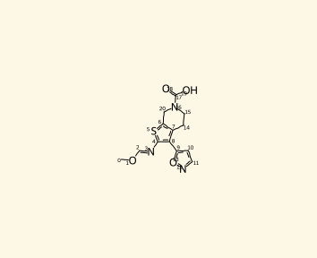 COC=Nc1sc2c(c1-c1ccno1)CCN(C(=O)O)C2